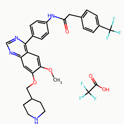 COc1cc2c(-c3ccc(NC(=O)Cc4ccc(C(F)(F)F)cc4)cc3)ncnc2cc1OCC1CCNCC1.O=C(O)C(F)(F)F